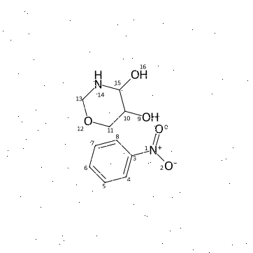 O=[N+]([O-])c1ccccc1.OC1COCNC1O